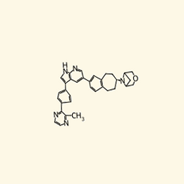 Cc1nccnc1-c1ccc(-c2c[nH]c3ncc(-c4ccc5c(c4)CC[C@@H](N4C6COCC4C6)CC5)cc23)cc1